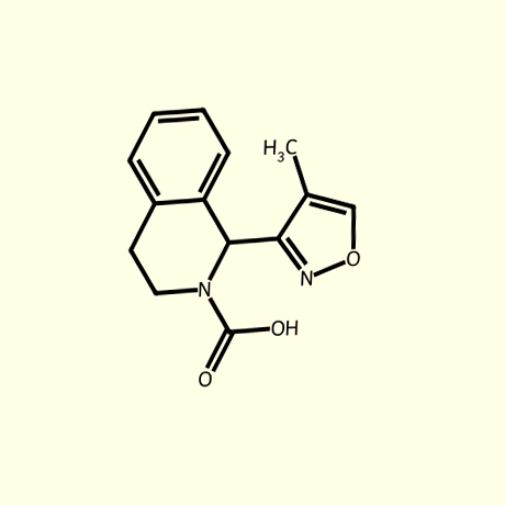 Cc1conc1C1c2ccccc2CCN1C(=O)O